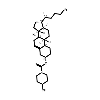 CC(C)CCC[C@@H](C)[C@H]1CC[C@H]2[C@@H]3CC=C4C[C@@H](OC(=O)N5CCC(O)CC5)CC[C@]4(C)[C@H]3CC[C@]12C